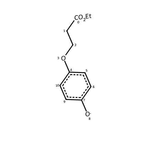 CCOC(=O)CCOc1ccc([O])cc1